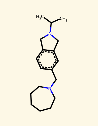 CC(C)N1Cc2ccc(CN3CCCCCC3)cc2C1